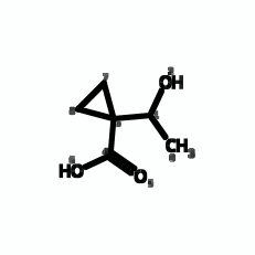 CC(O)C1(C(=O)O)CC1